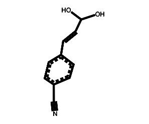 N#Cc1ccc(/C=C/C(O)O)cc1